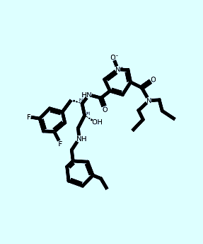 CCCN(CCC)C(=O)c1cc(C(=O)N[C@@H](Cc2cc(F)cc(F)c2)[C@H](O)CNCc2cccc(CC)c2)c[n+]([O-])c1